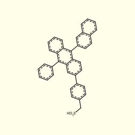 O=S(=O)(O)Cc1ccc(-c2ccc3c(-c4ccc5ccccc5c4)c4ccccc4c(-c4ccccc4)c3c2)cc1